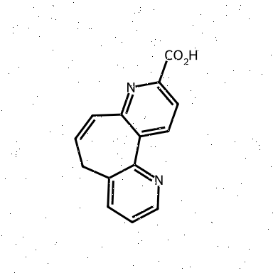 O=C(O)c1ccc2c(n1)C=CCc1cccnc1-2